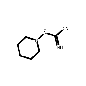 N#CC(=N)NN1CCCCC1